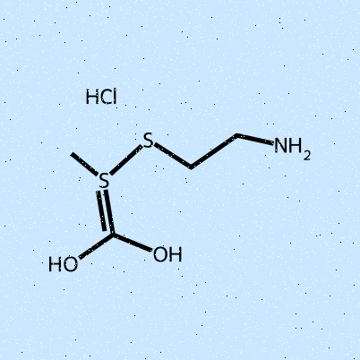 CS(SCCN)=C(O)O.Cl